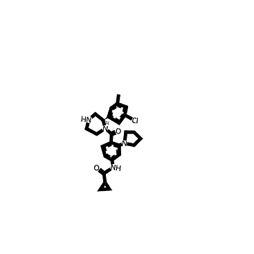 Cc1cc(Cl)cc([C@H]2CNCCN2C(=O)c2ccc(NC(=O)C3CC3)cc2N2CCCC2)c1